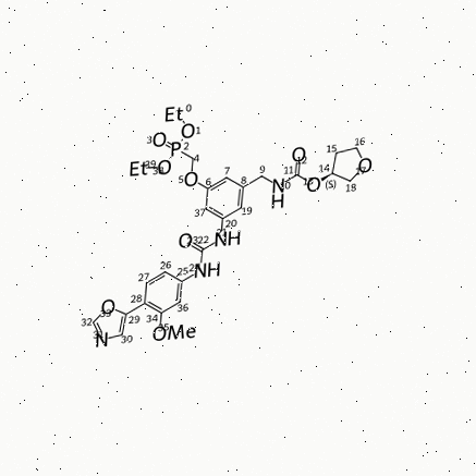 CCOP(=O)(COc1cc(CNC(=O)O[C@H]2CCOC2)cc(NC(=O)Nc2ccc(-c3cnco3)c(OC)c2)c1)OCC